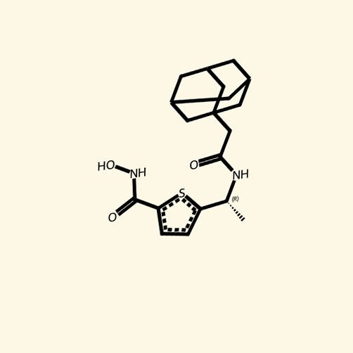 C[C@@H](NC(=O)CC12CC3CC(CC(C3)C1)C2)c1ccc(C(=O)NO)s1